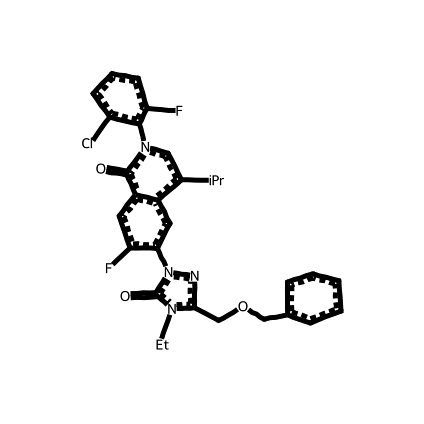 CCn1c(COCc2ccccc2)nn(-c2cc3c(C(C)C)cn(-c4c(F)cccc4Cl)c(=O)c3cc2F)c1=O